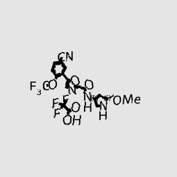 COC[C@@H]1C[C@@H](NC(=O)c2ncc(-c3cc(C#N)ccc3OC(F)(F)F)o2)CN1.O=C(O)C(F)(F)F